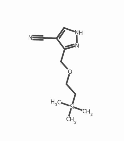 C[Si](C)(C)CCOCc1n[nH]cc1C#N